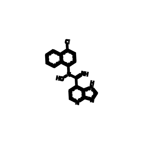 N=C(c1ccnc2nc[nH]c12)N(O)c1ccc(Cl)c2ccccc12